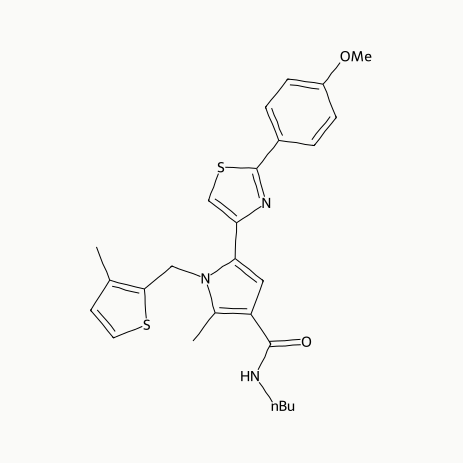 CCCCNC(=O)c1cc(-c2csc(-c3ccc(OC)cc3)n2)n(Cc2sccc2C)c1C